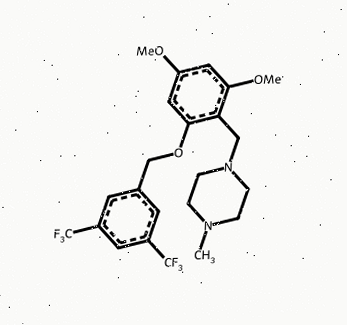 COc1cc(OC)c(CN2CCN(C)CC2)c(OCc2cc(C(F)(F)F)cc(C(F)(F)F)c2)c1